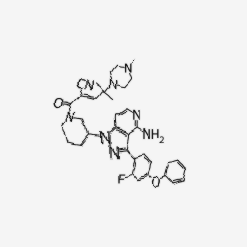 CN1CCN(C(C)(C)C=C(C#N)C(=O)N2CCCC(n3nc(-c4ccc(Oc5ccccc5)cc4F)c4c(N)nccc43)C2)CC1